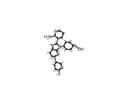 Nc1ncccc1-c1nc2ccc(-c3ccc(F)nc3)nc2n1-c1ccc(CO)cc1